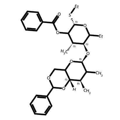 CCS[C@@H]1OC(CC)[C@@H](O[C@@H]2OC3COC(c4ccccc4)O[C@H]3[C@H](C)C2C)[C@H](C)C1OC(=O)c1ccccc1